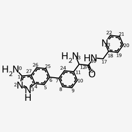 Nc1n[nH]c2cc(-c3cccc(C(N)C(=O)NCc4ccccn4)c3)ccc12